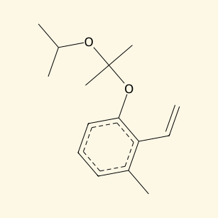 C=Cc1c(C)cccc1OC(C)(C)OC(C)C